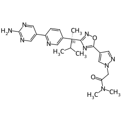 CC(C)[C@@](C)(c1ccc(-c2cnc(N)nc2)nc1)c1noc(-c2cnn(CC(=O)N(C)C)c2)n1